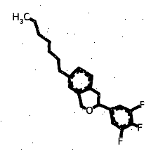 CCCCCCCc1ccc2c(c1)COC(c1cc(F)c(F)c(F)c1)C2